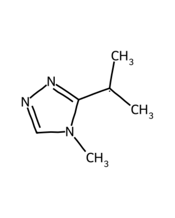 C[C](C)c1nncn1C